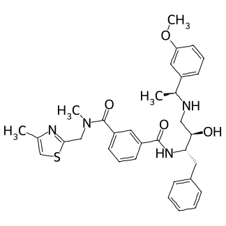 COc1cccc([C@H](C)NC[C@@H](O)[C@H](Cc2ccccc2)NC(=O)c2cccc(C(=O)N(C)Cc3nc(C)cs3)c2)c1